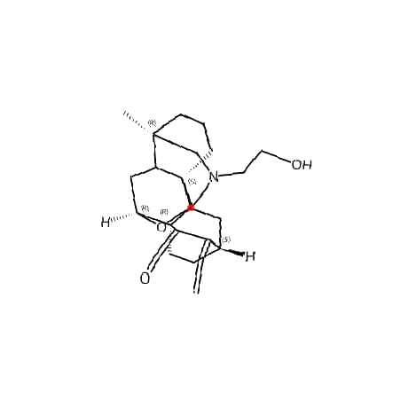 C=C1C(=O)[C@]23CC[C@H]1CC2[C@@]12CCC[C@@]4(C)CN(CCO)C1O[C@@H]3CC42